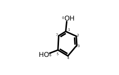 Oc1c[c]cc(O)c1